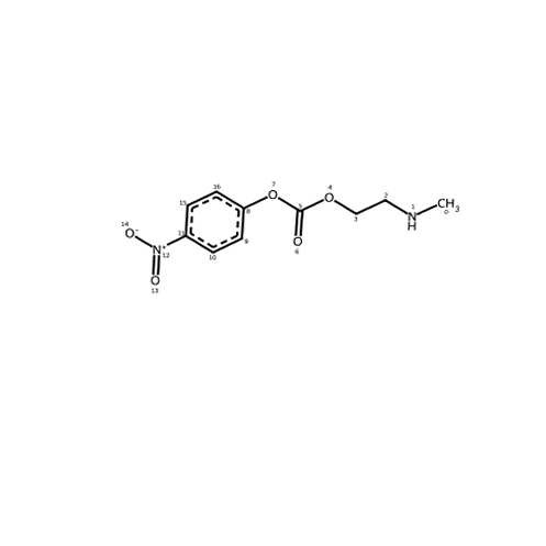 CNCCOC(=O)Oc1ccc([N+](=O)[O-])cc1